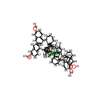 COc1ccc2c(C3C=CC=CC4=C3C=C(C)[C]43[SiH](C)[C]4(C(C)=CC5=C4C=CC=CC5c4cccc5cc(OC)ccc45)[Zr]34([Cl])([Cl])[C]3(C(C)=CC5=C3C=CC=CC5c3cccc5cc(OC)ccc35)[SiH](C)[C]43C(C)=CC4=C3C=CC=CC4c3cccc4cc(OC)ccc34)cccc2c1